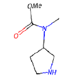 COC(=O)N(C)C1CCNC1